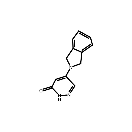 O=c1cc(N2Cc3ccccc3C2)cn[nH]1